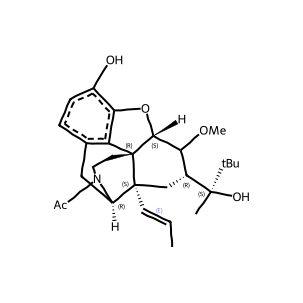 C/C=C/[C@@]12C[C@@H]([C@](C)(O)C(C)(C)C)C(OC)[C@H]3Oc4c(O)ccc5c4[C@]31CCN(C(C)=O)[C@@H]2C5